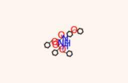 O=C(Nc1ccc(Oc2ccccc2)cc1)C(COCc1ccccc1)NC(=O)C(OCc1ccccc1)c1ccccc1